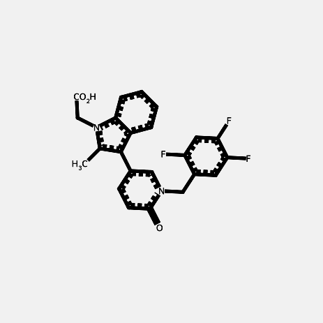 Cc1c(-c2ccc(=O)n(Cc3cc(F)c(F)cc3F)c2)c2ccccc2n1CC(=O)O